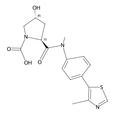 Cc1ncsc1-c1ccc(N(C)C(=O)[C@@H]2C[C@@H](O)CN2C(=O)O)cc1